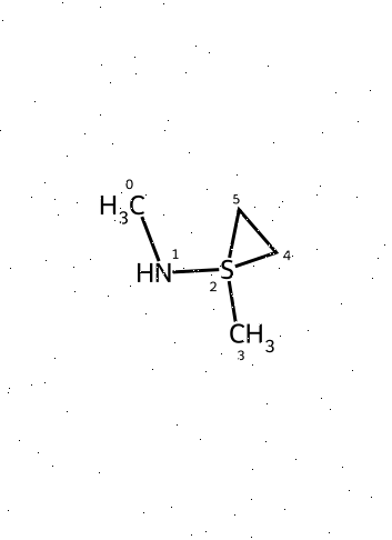 CNS1(C)CC1